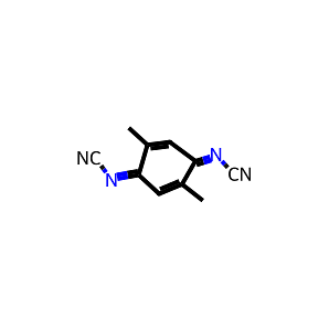 CC1=CC(=N/C#N)/C(C)=CC/1=N/C#N